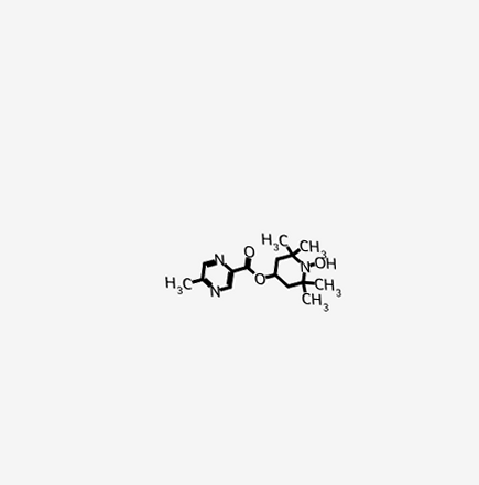 Cc1cnc(C(=O)OC2CC(C)(C)N(O)C(C)(C)C2)cn1